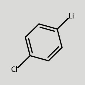 [Li][c]1ccc(Cl)cc1